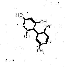 CC1=CC(C2C(O)=CC(O)CC2O)C(C(C)C)C=C1